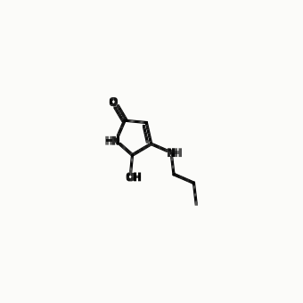 CCCNC1=CC(=O)NC1O